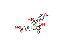 COc1ccc(OCC(C)(O)CS[C@H]2C(O)CC(=O)[C@@H]2CCCCCCC(=O)O)cc1